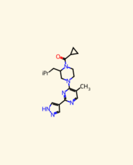 Cc1cnc(-c2cn[nH]c2)nc1N1CCN(C(=O)C2CC2)C(CC(C)C)C1